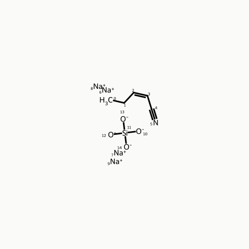 CC/C=C\C#N.[Na+].[Na+].[Na+].[Na+].[O-][Si]([O-])([O-])[O-]